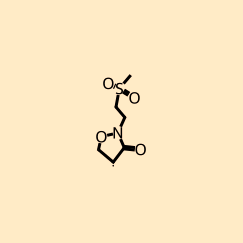 CS(=O)(=O)CCN1OC[CH]C1=O